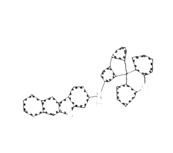 c1ccc2c(c1)Oc1ccccc1C21c2ccccc2-c2ccc(Nc3ccc4c(c3)oc3cc5ccccc5cc34)cc21